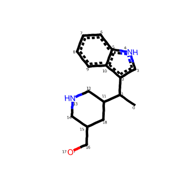 CC(c1c[nH]c2ccccc12)C1CNCC(C[O])C1